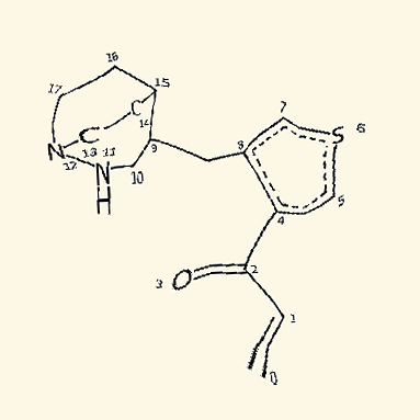 C=CC(=O)c1cscc1C1CNN2CCC1CC2